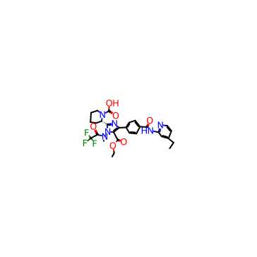 CCOC(=O)c1c(-c2ccc(C(=O)Nc3cc(CC)ccn3)cc2)nc([C@@H]2CCCCN2C(=O)O)n1N(C)C(=O)C(F)(F)F